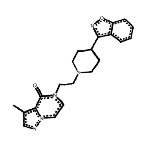 Cc1cnn2ccn(CCN3CCC(c4noc5ccccc45)CC3)c(=O)c12